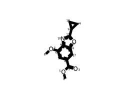 COC(=O)c1cc(OC)c2nc(C3CC3)oc2c1